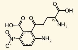 Nc1ccc([N+](=O)[O-])c(C(=O)O)c1C(=O)CC[C@H](N)C(=O)O